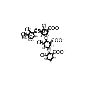 O=C([O-])c1cccc(Cl)c1Cl.O=C([O-])c1cccc(Cl)c1Cl.O=C([O-])c1cccc(Cl)c1Cl.O=C([O-])c1cccc(Cl)c1Cl.[Pb+4]